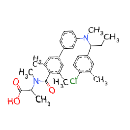 CCC(c1ccc(Cl)c(C)c1)N(C)c1cccc(-c2cc(C)c(C(=O)N(C)C(C)C(=O)O)c(C)c2)c1